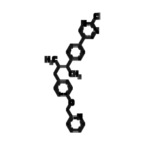 CC(Cc1ccc(OCc2ccccn2)cc1)C(C)c1ccc(-c2cnc(Cl)nc2)cc1